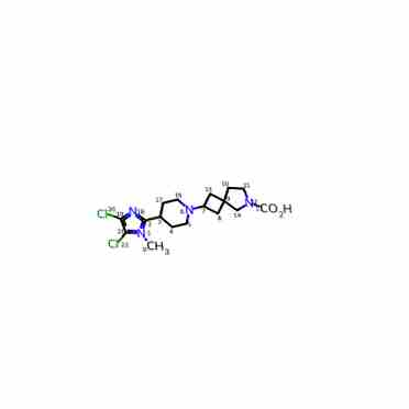 Cn1c(C2CCN(C3CC4(CCN(C(=O)O)C4)C3)CC2)nc(Cl)c1Cl